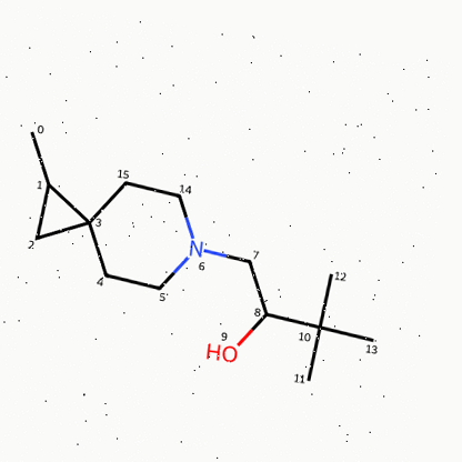 CC1CC12CCN(CC(O)C(C)(C)C)CC2